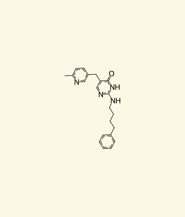 Cc1ccc(Cc2cnc(NCCCCc3ccccc3)[nH]c2=O)cn1